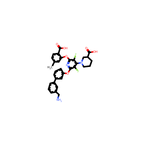 Cc1ccc(C(=O)O)c(Oc2nc(Oc3cccc(-c4cccc(CN)c4)c3)c(F)c(N3CCCC(C(=O)O)C3)c2F)c1